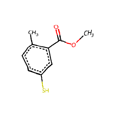 COC(=O)c1cc(S)ccc1C